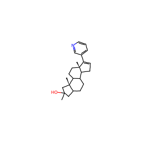 CC1(O)CC2CCC3C(CC[C@]4(C)C(c5cccnc5)=CCC34)[C@@]2(C)C1